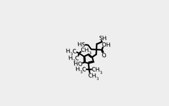 CC(C)(C)c1cc(CC(CCS)(CCS)C(=O)O)cc(C(C)(C)C)c1O